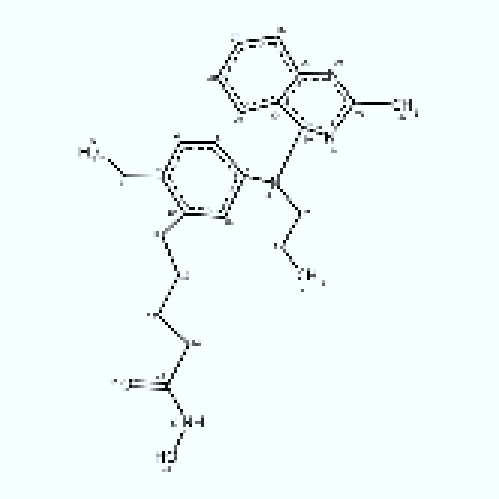 CCCN(c1ccc(CC)c(CCCCC(=O)NO)c1)c1nc(C)nc2ccccc12